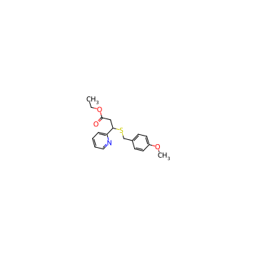 CCOC(=O)CC(SCc1ccc(OC)cc1)c1ccccn1